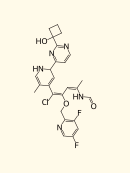 CC1=CNC(c2ccnc(C3(O)CCC3)n2)C=C1/C(Cl)=C(\C=C(\C)NC=O)OCc1ncc(F)cc1F